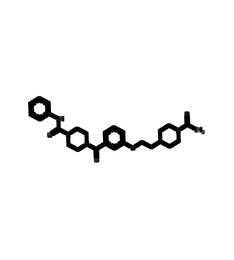 CC(=O)N1CCC(CCOc2cccc(C(=O)N3CCN(C(=O)Nc4ccccc4)CC3)c2)CC1